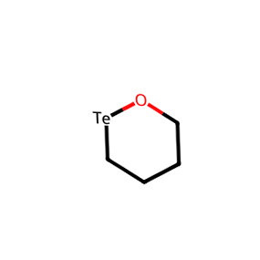 C1CC[Te]OC1